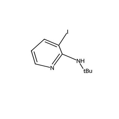 CC(C)(C)Nc1ncccc1I